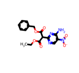 CCOC(=O)C(C(=O)OCc1ccccc1)c1ncc([N+](=O)[O-])c(N)n1